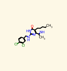 CCCCCc1c(C(C)=N)nc(NCc2ccc(Cl)c(Cl)c2)[nH]c1=O